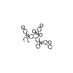 C=Cc1c(/C=C\C)n(-c2ccc(OC)cc2)c2cc3c(=O)n(-c4ccc(OC)cc4)c(=O)c4cc5c(cc4c3cc12)c1ccccc1n5-c1ccc2oc3ccccc3c2c1